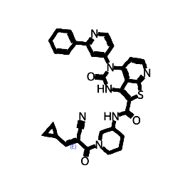 N#C/C(=C\C1CC1)C(=O)N1CCCC(NC(=O)c2sc3nccc4c3c2NC(=O)N4c2ccnc(C3=CCCC=C3)c2)C1